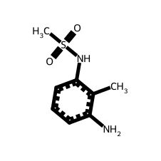 Cc1c(N)cccc1NS(C)(=O)=O